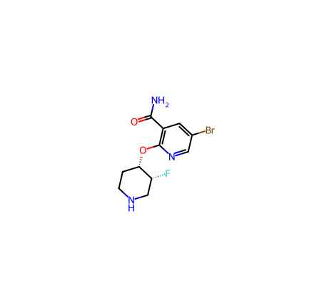 NC(=O)c1cc(Br)cnc1O[C@H]1CCNC[C@H]1F